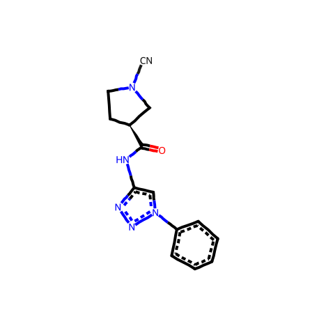 N#CN1CC[C@H](C(=O)Nc2cn(-c3ccccc3)nn2)C1